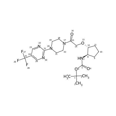 CC(C)(C)OC(=O)N[C@@H]1CCC[C@H]1OCC(=O)N1CCN(c2ncc(C(F)(F)F)cn2)CC1